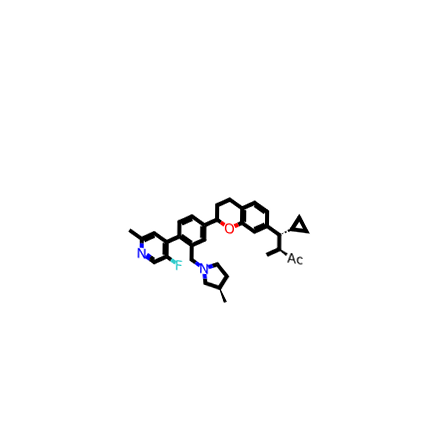 CC(=O)[C@@H](C)[C@H](c1ccc2c(c1)OC(c1ccc(-c3cc(C)ncc3F)c(CN3CC[C@@H](C)C3)c1)CC2)C1CC1